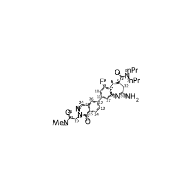 CCCN(CCC)C(=O)C1=Cc2c(F)cc(-c3ccc4c(=O)n(CC(=O)NC)ncc4c3)cc2N=C(N)C1